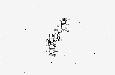 COc1cc(C(=O)Nc2cnn(C(C)c3ccc(F)cc3)c(=O)c2O)ccc1-n1cnc(C)c1